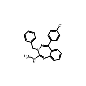 NNC1=Nc2ccccc2C(c2ccc(Cl)cc2)=NN1Cc1ccccc1